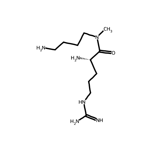 CN(CCCCN)C(=O)[C@@H](N)CCCNC(=N)N